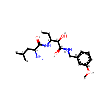 CCC(NC(=O)[C@@H](N)CC(C)C)C(O)C(=O)NCc1cccc(OC)c1